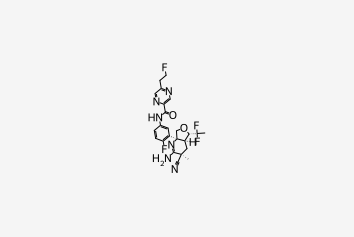 CC(F)(F)[C@H]1OC[C@]2(c3cc(NC(=O)c4cnc(CCF)cn4)ccc3F)N=C(N)[C@](C)(C#N)C[C@H]12